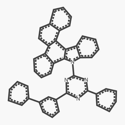 c1ccc(-c2cccc(-c3nc(-c4ccccc4)nc(-n4c5ccccc5c5c6c7ccccc7ccc6c6ccccc6c54)n3)c2)cc1